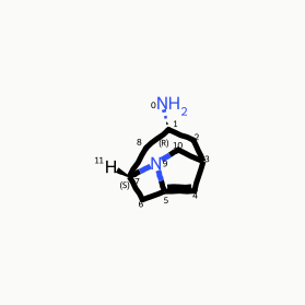 N[C@@H]1CC2C=C3C[C@H](C1)N3C2